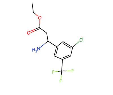 CCOC(=O)CC(N)c1cc(Cl)cc(C(F)(F)F)c1